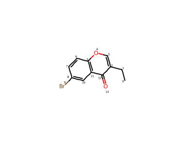 CCc1coc2ccc(Br)cc2c1=O